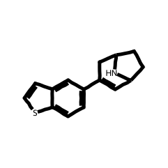 C1=C(c2ccc3sccc3c2)CC2CCC1N2